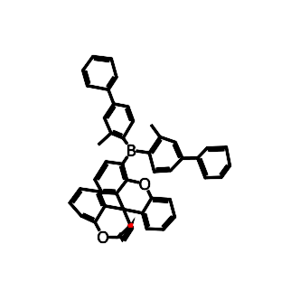 Cc1cc(-c2ccccc2)ccc1B(c1ccc(-c2ccccc2)cc1C)c1cccc2c1Oc1ccccc1C21c2ccccc2Oc2ccccc21